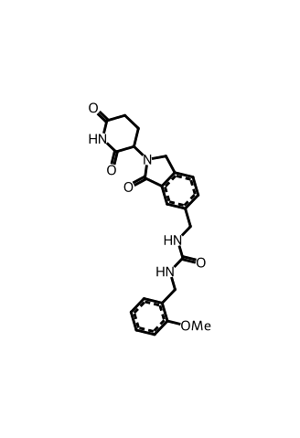 COc1ccccc1CNC(=O)NCc1ccc2c(c1)C(=O)N(C1CCC(=O)NC1=O)C2